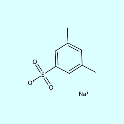 Cc1cc(C)cc(S(=O)(=O)[O-])c1.[Na+]